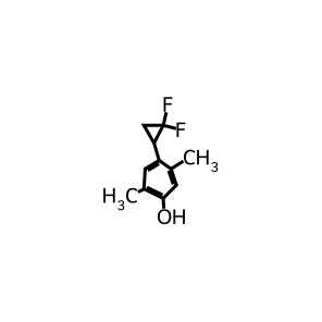 Cc1cc(C2CC2(F)F)c(C)cc1O